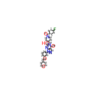 O=C(c1ccc(F)cc1)N1CCC(O)(Cn2cnc3c(cnn3-c3cccc(OCC4CCOCC4)c3)c2=O)CC1